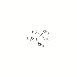 [CH3][In]([CH3])[C](C)(C)C